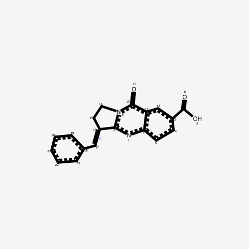 O=C(O)c1ccc2nc3n(c(=O)c2c1)CC/C3=C\c1ccccc1